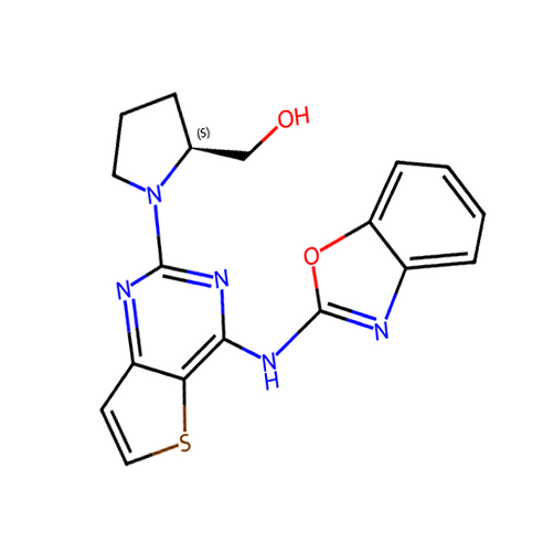 OC[C@@H]1CCCN1c1nc(Nc2nc3ccccc3o2)c2sccc2n1